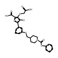 O=C(O)COc1c(C(=O)O)sc(-c2cccc(OCC3CCN(C(=O)Oc4ccccc4)CC3)c2)c1Cl